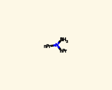 BN(CCC)CCC